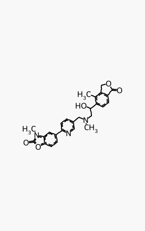 Cc1c(C(O)CN(C)Cc2ccc(-c3ccc4oc(=O)n(C)c4c3)nc2)ccc2c1COC2=O